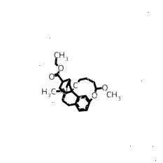 CCOC(=O)C1CC2C3Cc4ccc5cc4[C@@]2(CCCCC(OC)O5)CC1N3C